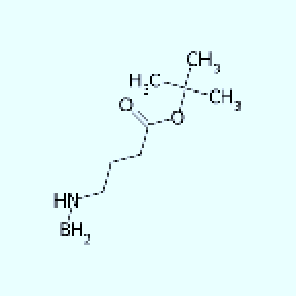 BNCCCC(=O)OC(C)(C)C